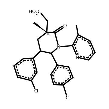 Cc1cccnc1N1C(=O)[C@@](C)(CC(=O)O)CC(c2cccc(Cl)c2)C1c1ccc(Cl)cc1